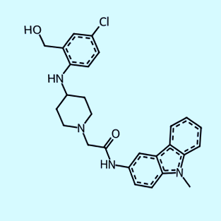 Cn1c2ccccc2c2cc(NC(=O)CN3CCC(Nc4ccc(Cl)cc4CO)CC3)ccc21